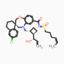 C=C[C@H](O)[C@@H]1CC[C@H]1CN1C[C@@]2(CCCc3cc(Cl)ccc32)COc2ccc(C(=O)/N=[SH](=O)/CCC/C=C\C)cc21